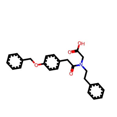 O=C(O)CN(CCc1ccccc1)C(=O)Cc1ccc(OCc2ccccc2)cc1